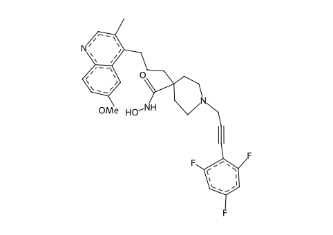 COc1ccc2ncc(C)c(CCCC3(C(=O)NO)CCN(CC#Cc4c(F)cc(F)cc4F)CC3)c2c1